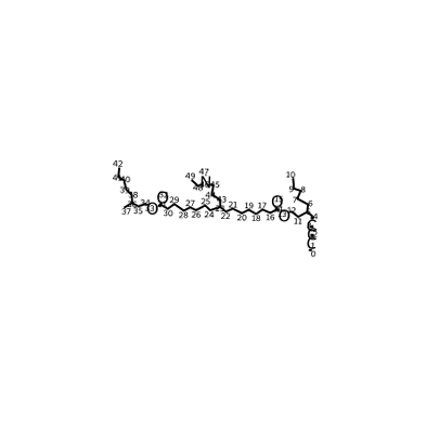 C=C=C=C=CC(CCCCC)CCOC(=O)CCCCCCCC(CCCCCCCC(=O)OCCC(C)CCCCC)CCCN(C)CC